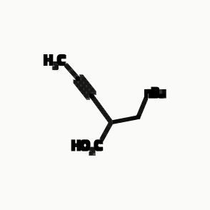 CC#CC(CCCCC)C(=O)O